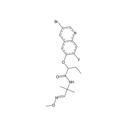 CCC(Oc1cc2cc(Br)cnc2cc1F)C(=O)NC(C)(C)C=NOC